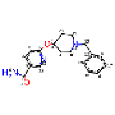 NC(=O)c1ccc(OC2CCN(Cc3ccccc3)CC2)nc1